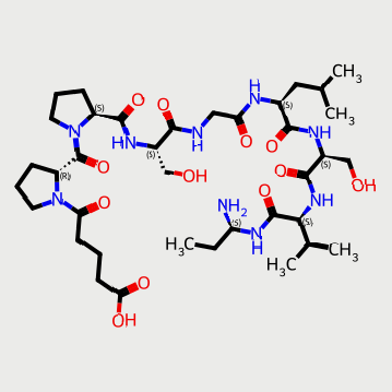 CC[C@@H](N)NC(=O)[C@@H](NC(=O)[C@H](CO)NC(=O)[C@H](CC(C)C)NC(=O)CNC(=O)[C@H](CO)NC(=O)[C@@H]1CCCN1C(=O)[C@H]1CCCN1C(=O)CCCC(=O)O)C(C)C